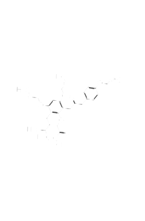 COCOc1ccc(CC(=O)Cc2c(OCOC)cc(OCOC)c(CCC(C)C)c2OCC(=O)OC)cc1